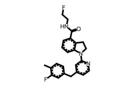 Cc1ccc(Cc2ccnc(N3CCc4c(C(=O)NCCF)cccc43)c2)cc1F